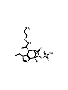 CCn1cnc2c1[C@@H](C(=O)NOCCN)N1C[C@@H]2N(OS(=O)(=O)O)C1=O